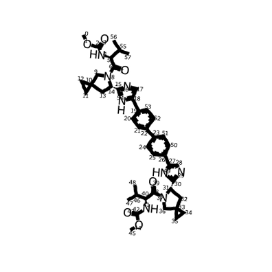 COC(=O)N[C@H](C(=O)N1CC2(CC2)C[C@H]1c1ncc(-c2ccc(-c3ccc(-c4cnc([C@@H]5CC6(CC6)CN5C(=O)[C@@H](NC(=O)OC)C(C)C)[nH]4)cc3)cc2)[nH]1)C(C)C